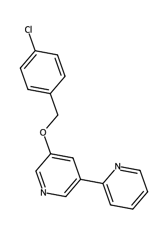 Clc1ccc(COc2cncc(-c3ccccn3)c2)cc1